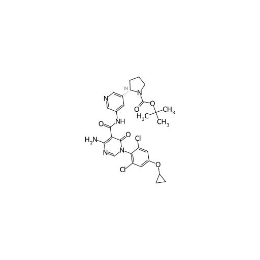 CC(C)(C)OC(=O)N1CCC[C@H]1c1cncc(NC(=O)c2c(N)ncn(-c3c(Cl)cc(OC4CC4)cc3Cl)c2=O)c1